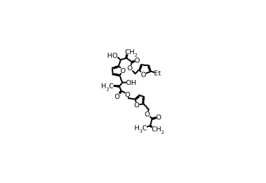 C=C(C)C(=O)OCc1ccc(COC(=O)C(=C)C(O)c2ccc(C(O)C(=C)C(=O)OCc3ccc(CC)o3)o2)o1